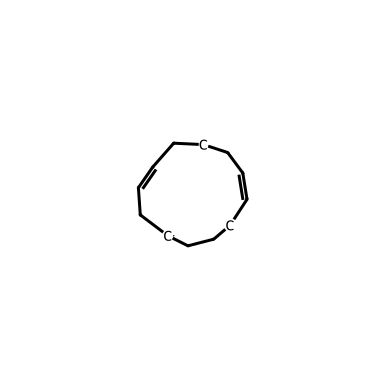 [CH]1CC=CCCCC=CCCC1